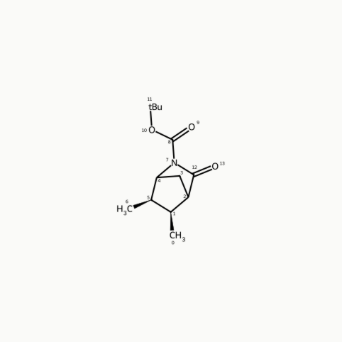 C[C@@H]1C2CC([C@@H]1C)N(C(=O)OC(C)(C)C)C2=O